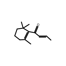 C/C=C/C(=O)C1=C(C)CCCC1(C)C